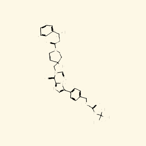 C[C@H](CC(=O)N1CCC(O)(Cn2cnn3c(-c4ccc(CNC(=O)OC(C)(C)C)cc4)cnc3c2=O)CC1)c1ccccc1